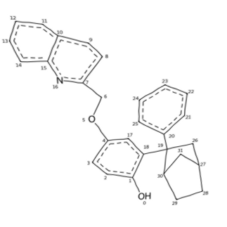 Oc1ccc(OCc2ccc3ccccc3n2)cc1C1(c2ccccc2)CC2CCC1C2